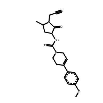 COc1ccc(C2=CCN(C(=O)NC3CC(C)N(CC#N)C3=O)CC2)cc1